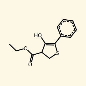 CCOC(=O)C1CSC(c2ccccc2)=C1O